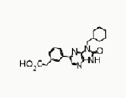 O=C(O)Cc1cccc(-c2cnc3[nH]c(=O)n(CC4CCCCC4)c3n2)c1